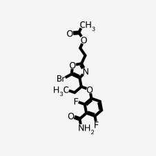 CCC(Oc1ccc(F)c(C(N)=O)c1F)c1nc(CCOC(C)=O)oc1Br